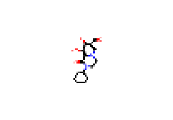 O=[C]c1cn2c(c(O)c1=O)C(=O)N(C1CCCCC1)CC2